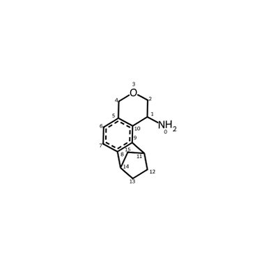 NC1COCc2ccc3c(c21)C1CCC3C1